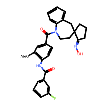 COc1cc(C(=O)N2CCC3(CCCC3=NO)Cc3ccccc32)ccc1NC(=O)c1cccc(F)c1